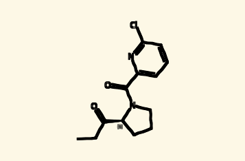 CCC(=O)[C@@H]1CCCN1C(=O)c1cccc(Cl)n1